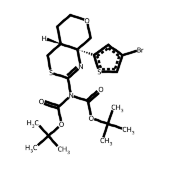 CC(C)(C)OC(=O)N(C(=O)OC(C)(C)C)C1=N[C@]2(c3cc(Br)cs3)COCC[C@H]2CS1